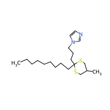 CCCCCCCCCC1(CCCn2ccnc2)SCC(C)CS1